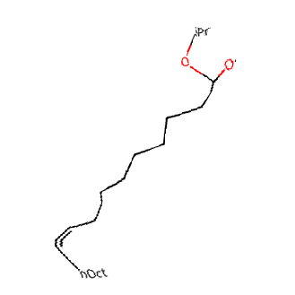 CCCCCCCC/C=C\CCCCCCCC([O])OC(C)C